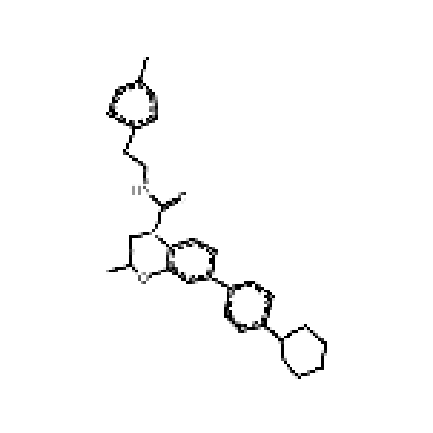 Cc1ccc(CCNC(=O)N2CC(C)Oc3cc(-c4ccc(C5CCCCC5)cc4)ccc32)cc1